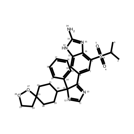 CC(C)S(=O)(=O)c1cc(C2=NC=NC2(c2ccccc2)C2CCC3(CCOO3)CC2)cc2[nH]c(N)nc12